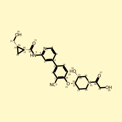 N#Cc1cc(-c2ccnc(NC(=O)[C@@H]3C[C@@H]3CO)c2)ccc1O[C@H]1CCN(C(=O)CO)C[C@H]1O